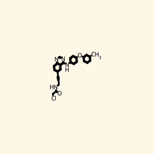 Cc1cccc(Oc2ccc(Nc3ncnc4ccc(C#CCNC(=O)CCl)cc34)cc2)c1